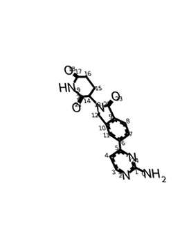 Nc1nccc(-c2ccc3c(c2)CN(C2CCC(=O)NC2=O)C3=O)n1